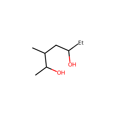 CCC(O)CC(C)C(C)O